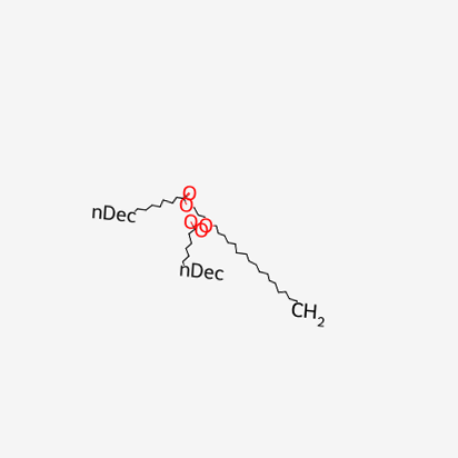 C=CCCCCCCCCCCCCCCCCOCC(COC(=O)CCCCCCCCCCCCCCCCC)OC(=O)CCCCCCCCCCCCCCC